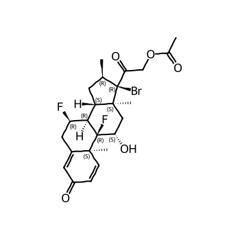 CC(=O)OCC(=O)[C@@]1(Br)[C@H](C)C[C@H]2[C@@H]3[C@H](F)CC4=CC(=O)C=C[C@]4(C)[C@@]3(F)[C@@H](O)C[C@@]21C